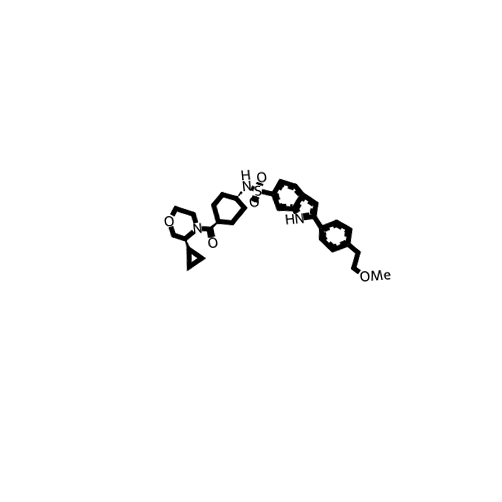 COCCc1ccc(-c2cc3ccc(S(=O)(=O)N[C@H]4CC[C@H](C(=O)N5CCOC[C@@H]5C5CC5)CC4)cc3[nH]2)cc1